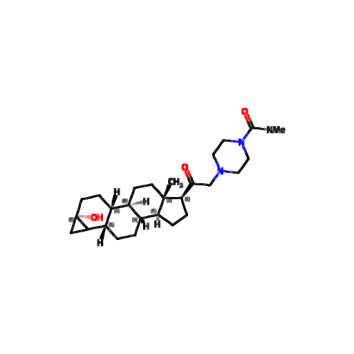 CNC(=O)N1CCN(CC(=O)[C@H]2CC[C@H]3[C@@H]4CC[C@@H]5C6C[C@@]6(O)CC[C@@H]5[C@H]4CC[C@]23C)CC1